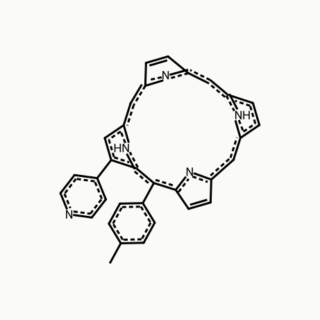 Cc1ccc(-c2c3nc(cc4ccc(cc5nc(cc6cc(-c7ccncc7)c2[nH]6)C=C5)[nH]4)C=C3)cc1